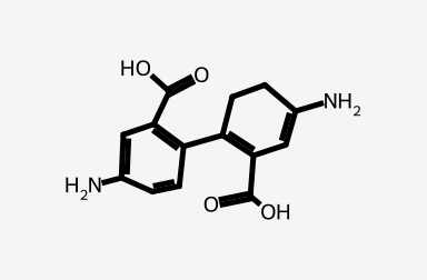 NC1=CC(C(=O)O)=C(c2ccc(N)cc2C(=O)O)CC1